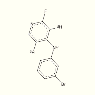 [3H]c1cnc(F)c([3H])c1Nc1cccc(Br)c1